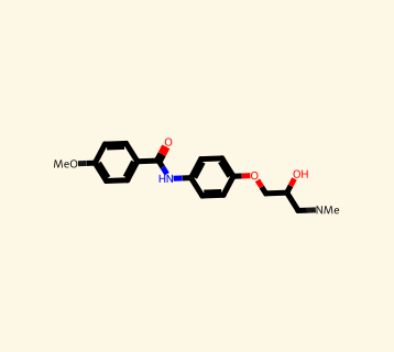 CNCC(O)COc1ccc(NC(=O)c2ccc(OC)cc2)cc1